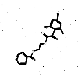 Cc1cc(C)c(C(=O)C(=O)OCCOC(=O)c2ccccc2)c(C)c1